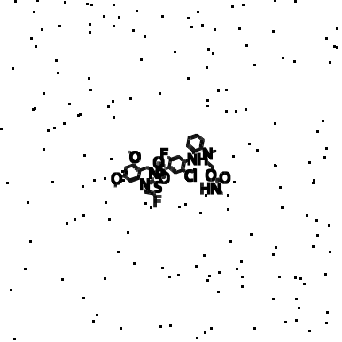 CNC(=O)OCCN(C)c1ccccc1Nc1cc(F)c(S(=O)(=O)N(Cc2ccc(OC)cc2OC)c2ncc(F)s2)cc1Cl